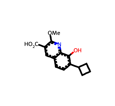 COc1nc2c(O)c(C3CCC3)ccc2cc1C(=O)O